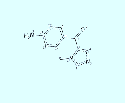 Cn1cncc1C(=O)c1ccc(N)cc1